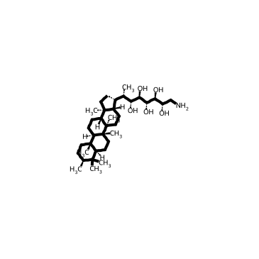 C[C@H]([C@@H](O)[C@@H](O)[C@@H](O)[C@@H](O)[C@@H](O)CN)[C@H]1CC[C@]2(C)[C@H]3CC[C@@H]4[C@@]5(C)CC[C@H](C)C(C)(C)[C@@H]5CC[C@@]4(C)[C@]3(C)CC[C@@H]12